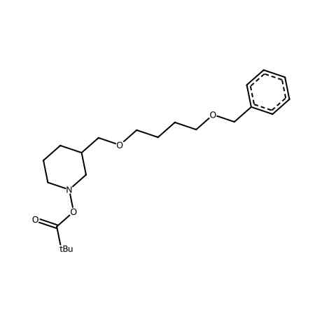 CC(C)(C)C(=O)ON1CCCC(COCCCCOCc2ccccc2)C1